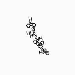 O=C(COc1ccc(C2=NNC(=O)CC2)cc1Cl)NCCNCC(O)COc1cccc2[nH]c3ccccc3c12